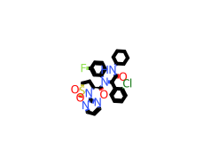 O=C(NC1CCCCC1)C(c1ccccc1Cl)N(C(=O)[C@@H]1CCS(=O)(=O)N1c1ncccn1)c1cccc(F)c1